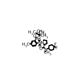 Cc1ccc(S(=O)(=O)N2CCC[C@H]2C(=O)N(C)C2CCC(F)(F)CC2)c(B2OC(C)(C)C(C)(C)O2)c1